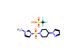 C[n+]1ccn(S(=O)(=O)N2CCC(n3cccn3)CC2)c1.O=S(=O)(O)C(F)(F)F